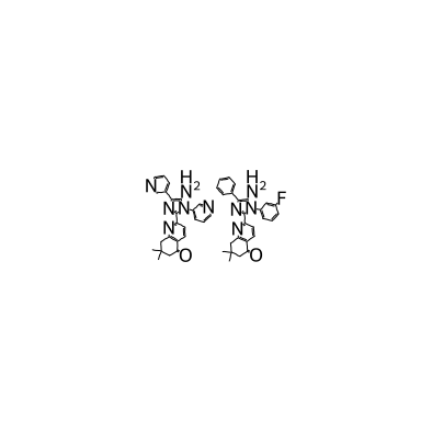 CC1(C)CC(=O)c2ccc(-c3nc(-c4ccccc4)c(N)n3-c3cccc(F)c3)nc2C1.CC1(C)CC(=O)c2ccc(-c3nc(-c4cccnc4)c(N)n3-c3cccnc3)nc2C1